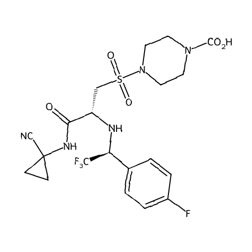 N#CC1(NC(=O)[C@H](CS(=O)(=O)N2CCN(C(=O)O)CC2)N[C@@H](c2ccc(F)cc2)C(F)(F)F)CC1